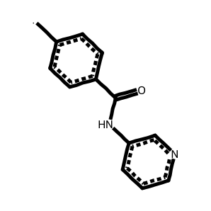 [CH2]c1ccc(C(=O)Nc2cccnc2)cc1